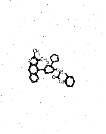 Cc1sc2cc3ccccc3c(-c3ccc(O[C@H](Cc4ccccc4)C(=O)O)c(C4CCCC4)c3)c2c1C